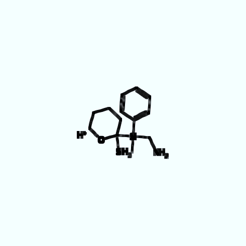 C[Si](CN)(c1ccccc1)C1([SiH3])CCCCO1.[H+]